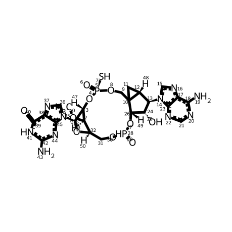 CO[C@H]1[C@H]2O[P@@](=O)(S)OCC34C[C@@H]3[C@@H](n3cnc5c(N)ncnc53)[C@H](O)[C@@H]4O[PH](=O)OC[C@H]1O[C@H]2n1cnc2c(=O)[nH]c(N)nc21